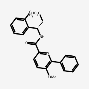 COc1ccc(C(=O)N[C@@H](CC(=O)O)c2ccccc2C)nc1-c1ccccc1